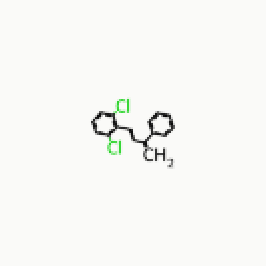 C=C(/C=C/c1c(Cl)cccc1Cl)c1ccccc1